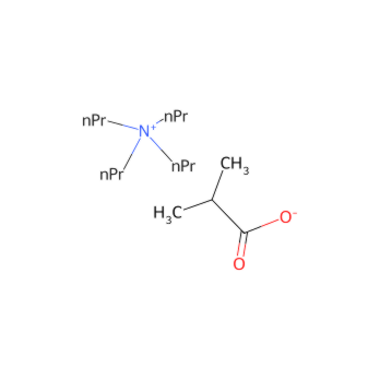 CC(C)C(=O)[O-].CCC[N+](CCC)(CCC)CCC